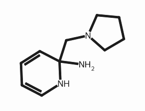 NC1(CN2CCCC2)C=CC=CN1